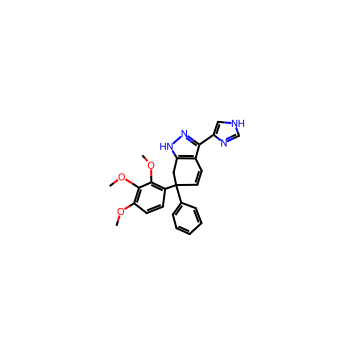 COc1ccc(C2(c3ccccc3)C=Cc3c(-c4c[nH]cn4)n[nH]c3C2)c(OC)c1OC